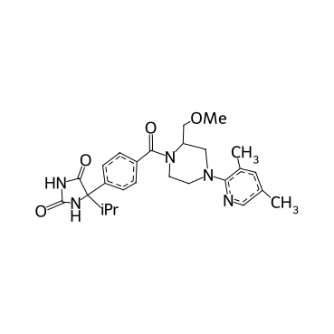 COCC1CN(c2ncc(C)cc2C)CCN1C(=O)c1ccc(C2(C(C)C)NC(=O)NC2=O)cc1